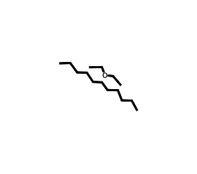 CCCCCCCCCCC.CCOCC